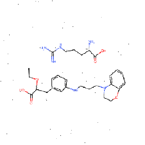 CCOC(Cc1cccc(NCCCN2CCOc3ccccc32)c1)C(=O)O.N=C(N)NCCC[C@H](N)C(=O)O